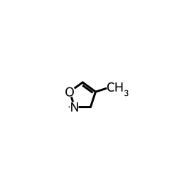 CC1=CO[N]C1